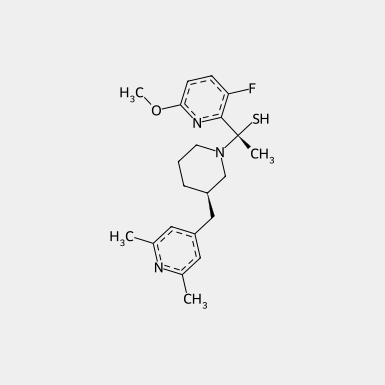 COc1ccc(F)c([C@](C)(S)N2CCC[C@H](Cc3cc(C)nc(C)c3)C2)n1